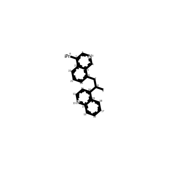 CC(C)c1cncc2c(CC(C)c3ccnc4ccccc34)cccc12